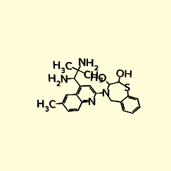 Cc1ccc2nc(N3Cc4ccccc4SC(O)C3O)cc(C(N)C(C)(C)N)c2c1